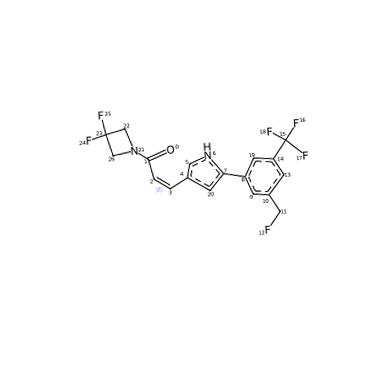 O=C(/C=C\c1c[nH]c(-c2cc(CF)cc(C(F)(F)F)c2)c1)N1CC(F)(F)C1